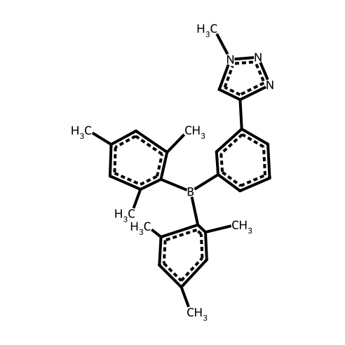 Cc1cc(C)c(B(c2cccc(-c3cn(C)nn3)c2)c2c(C)cc(C)cc2C)c(C)c1